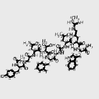 CNC(=N)NCCC[C@H](NC(=O)[C@H](CC(C)C)NC(=O)NNC(=O)[C@H](Cc1ccccc1F)NC(=O)[C@@H](NC(=O)[C@H](CC(N)=O)NC(=O)CNC(=O)[C@@H](Cc1ccc(O)cc1)NC(C)=O)[C@@H](C)O)C(=O)N[C@@H](Cc1c[nH]c2ccccc12)C(N)=O